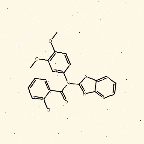 COc1ccc(N(C(=O)c2ccccc2Cl)c2nc3ccccc3s2)cc1OC